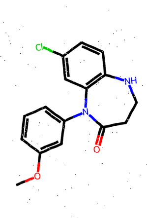 COc1cccc(N2C(=O)CCNc3ccc(Cl)cc32)c1